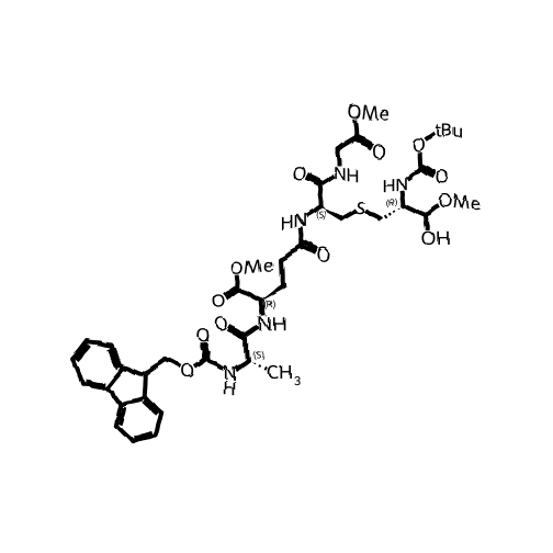 COC(=O)CNC(=O)[C@@H](CSC[C@H](NC(=O)OC(C)(C)C)C(O)OC)NC(=O)CC[C@@H](NC(=O)[C@H](C)NC(=O)OCC1c2ccccc2-c2ccccc21)C(=O)OC